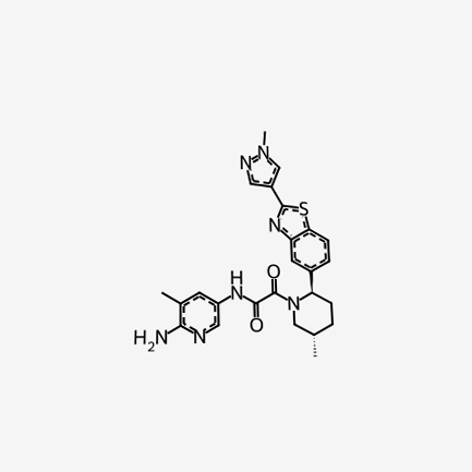 Cc1cc(NC(=O)C(=O)N2C[C@@H](C)CC[C@@H]2c2ccc3sc(-c4cnn(C)c4)nc3c2)cnc1N